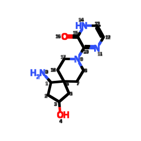 NC1CC(O)CC12CCN(c1nc[c][nH]c1=O)CC2